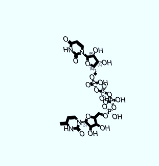 C=C1C=CN([C@H]2OC(COP(=O)(O)OP(=O)(O)OP(=O)(O)OP(=O)(O)OC[C@@H]3OC(n4ccc(=O)[nH]c4=O)[C@H](O)[C@@H]3O)C(O)C2O)C(=O)N1